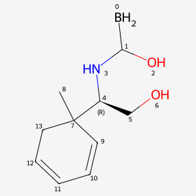 BC(O)N[C@@H](CO)C1(C)C=CC=CC1